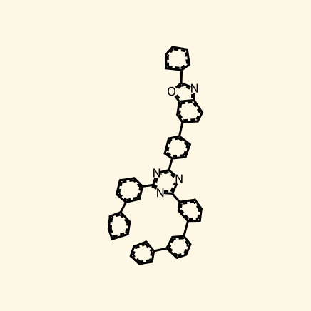 c1ccc(-c2cccc(-c3cccc(-c4nc(-c5ccc(-c6ccc7nc(-c8ccccc8)oc7c6)cc5)nc(-c5cccc(-c6ccccc6)c5)n4)c3)c2)cc1